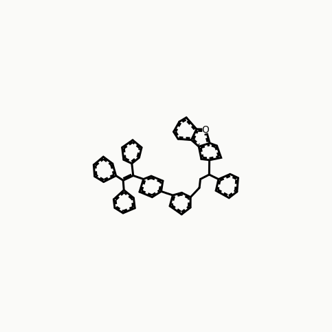 c1ccc(C(=C(c2ccccc2)c2ccc(-c3cccc(CCC(c4ccccc4)c4ccc5oc6ccccc6c5c4)c3)cc2)c2ccccc2)cc1